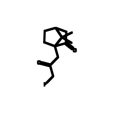 CC1(C)C2CCC1(CC(=O)CF)C(=O)C2